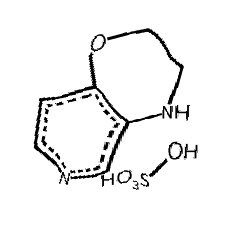 O=S(=O)(O)O.c1cc2c(cn1)NCCO2